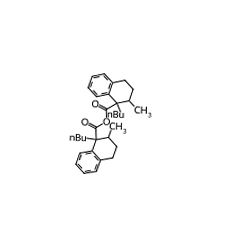 CCCCC1(C(=O)OC(=O)C2(CCCC)c3ccccc3CCC2C)c2ccccc2CCC1C